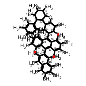 Bc1c(B)c(B)c(C2C(B)C(B)C(B)C3OC4C(B)C(B)C(c5c6c(B)c(B)c(B)c(B)c6c(-c6c(B)c(B)c7c(B)c(B)c(B)c(B)c7c6B)c6c(B)c(B)c(B)c(B)c56)C(B)C4C32)c(B)c1B